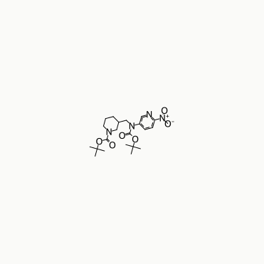 CC(C)(C)OC(=O)N1CCCC(CN(C(=O)OC(C)(C)C)c2ccc([N+](=O)[O-])nc2)C1